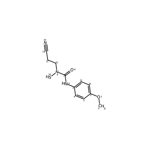 COc1ccc(NC(=O)N(S)CCC#N)cc1